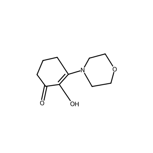 O=C1CCCC(N2CCOCC2)=C1O